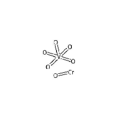 [O]=[Cr].[O]=[V](=[O])(=[O])(=[O])=[O]